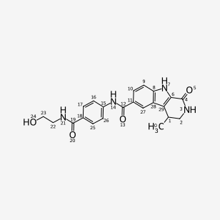 CC1CNC(=O)c2[nH]c3ccc(C(=O)Nc4ccc(C(=O)NCCO)cc4)cc3c21